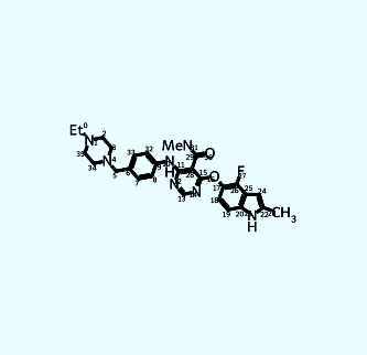 CCN1CCN(Cc2ccc(Nc3ncnc(Oc4ccc5[nH]c(C)cc5c4F)c3C(=O)NC)cc2)CC1